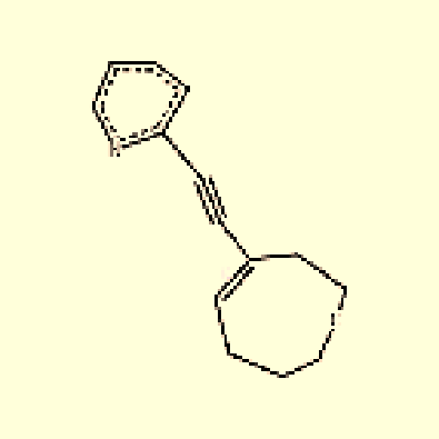 C(#Cc1ccccn1)/C1=C/CCCCCC1